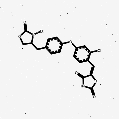 CCN1C(=O)OCC1Cc1ccc(Oc2ccc(C=C3SC(=O)NC3=O)c(Cl)c2)cc1